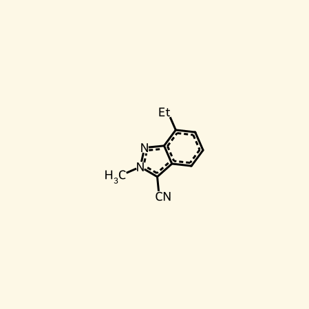 CCc1cccc2c(C#N)n(C)nc12